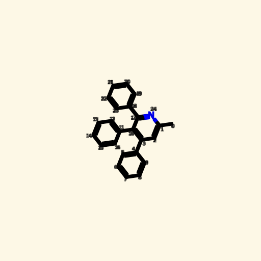 Cc1cc(-c2ccccc2)c(-c2ccccc2)c(-c2ccccc2)n1